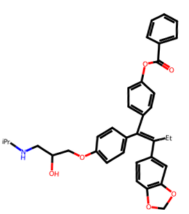 CC/C(=C(/c1ccc(OCC(O)CNC(C)C)cc1)c1ccc(OC(=O)c2ccccc2)cc1)c1ccc2c(c1)OCO2